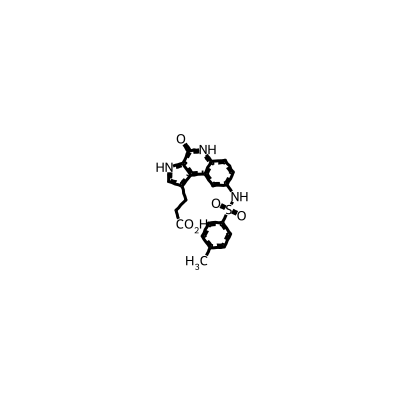 Cc1ccc(S(=O)(=O)Nc2ccc3[nH]c(=O)c4[nH]cc(CCC(=O)O)c4c3c2)cc1